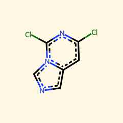 Clc1cc2cncn2c(Cl)n1